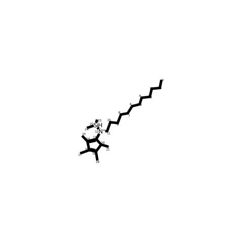 CCCCCCCCCCCC[N+](C1=C(C)C(C)=C(C)C1C)[SiH](C)C